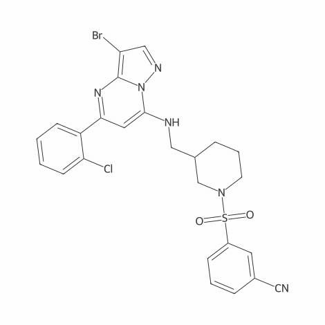 N#Cc1cccc(S(=O)(=O)N2CCCC(CNc3cc(-c4ccccc4Cl)nc4c(Br)cnn34)C2)c1